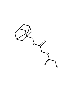 O=C(CCl)OCC(=O)OCC12CC3CC(CC(C3)C1)C2